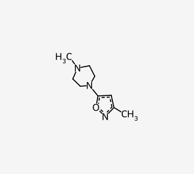 Cc1cc(N2CCN(C)CC2)on1